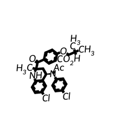 CC(=O)N(c1ccc(Cl)cc1)[C@@H]1CC(C)(C(=O)c2ccc(OCC(C)(C)C(=O)O)cc2)Nc2ccc(Cl)cc21